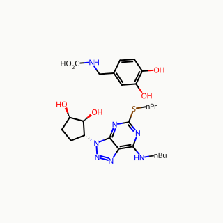 CCCCNc1nc(SCCC)nc2c1nnn2[C@@H]1CC[C@@H](O)[C@H]1O.O=C(O)NCc1ccc(O)c(O)c1